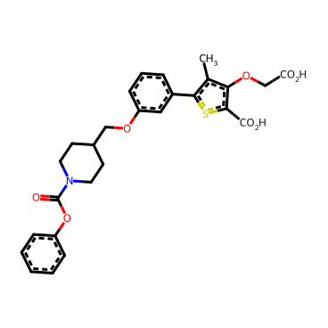 Cc1c(-c2cccc(OCC3CCN(C(=O)Oc4ccccc4)CC3)c2)sc(C(=O)O)c1OCC(=O)O